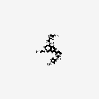 CCn1cc(Nc2nccc(-c3ccc4c(c3)CN(CCO)CCC4NC(=O)c3nnc(C(C)(C)C)o3)n2)cn1